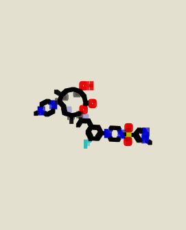 C/C(=C\c1cc(F)cc(N2CCN(S(=O)(=O)c3cnn(C)c3)CC2)c1)[C@H]1OC(=O)C[C@H](O)CC[C@H](C)[C@@H](N2CCN(C)CC2)/C=C/[C@@H]1C